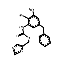 CC(C)c1c(O)cc(Cc2ccccc2)cc1NC(=O)OCc1cncs1